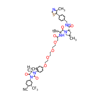 Cc1ncsc1-c1ccc(CNC(=O)[C@@H]2C[C@@H](C)CN2C(=O)[C@@H](NC(=O)COCCOCCOCCOc2ccc(N3C(=O)N(c4ccc(C#N)c(C(F)(F)F)c4)C(=O)C3(C)C)cc2)C(C)(C)C)cc1